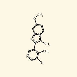 COc1ccc2c(c1)nc(-c1cncc(Br)c1C)n2C